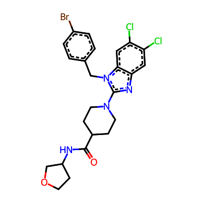 O=C(NC1CCOC1)C1CCN(c2nc3cc(Cl)c(Cl)cc3n2Cc2ccc(Br)cc2)CC1